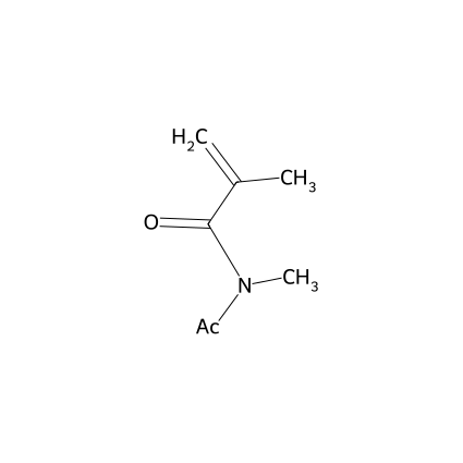 C=C(C)C(=O)N(C)C(C)=O